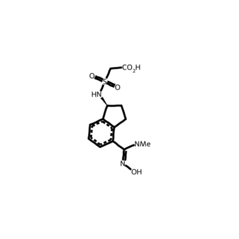 CN/C(=N\O)c1cccc2c1CC[C@@H]2NS(=O)(=O)CC(=O)O